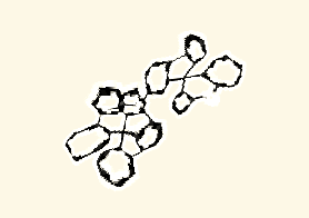 c1ccc(N(c2ccc3c(c2)C2(c4ccccc4Oc4ccccc42)c2ccccc2-3)c2cccc3c2C2(c4ccccc4Oc4ccccc42)c2ccccc2-3)cc1